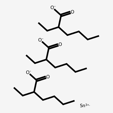 CCCCC(CC)C(=O)[O-].CCCCC(CC)C(=O)[O-].CCCCC(CC)C(=O)[O-].[Sn+3]